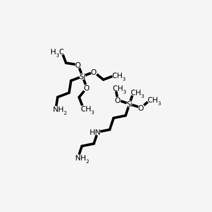 CCO[Si](CCCN)(OCC)OCC.CO[Si](C)(CCCNCCN)OC